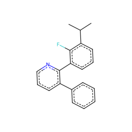 CC(C)c1cccc(-c2ncccc2-c2ccccc2)c1F